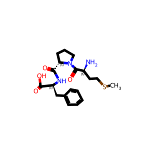 CSCC[C@H](N)C(=O)N1CCC[C@H]1C(=O)N[C@@H](Cc1ccccc1)C(=O)O